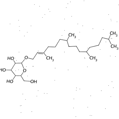 C/C(=C\COC1OC(CO)C(O)C(O)C1O)CCCC(C)CCCC(C)CCCC(C)C